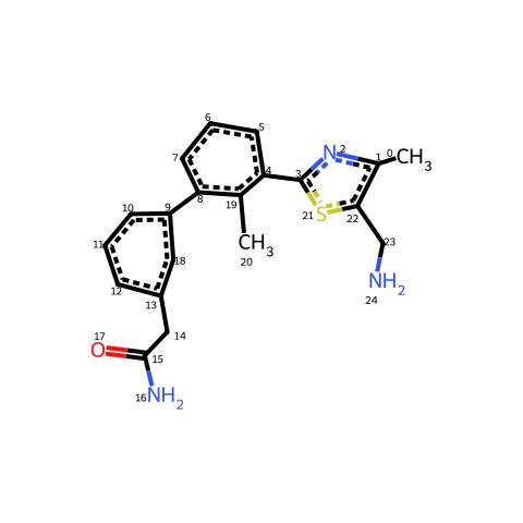 Cc1nc(-c2cccc(-c3cccc(CC(N)=O)c3)c2C)sc1CN